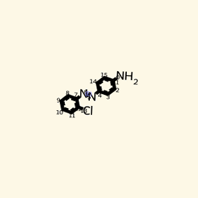 Nc1ccc(/N=N/c2ccccc2Cl)cc1